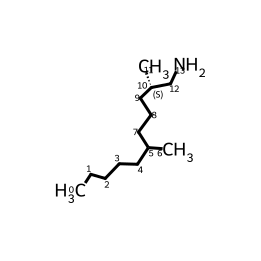 CCCCCC(C)CCC[C@H](C)CN